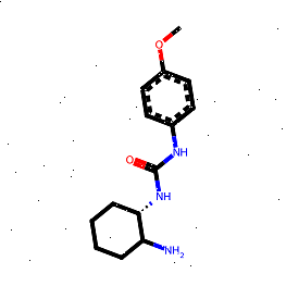 COc1ccc(NC(=O)N[C@H]2CCCCC2N)cc1